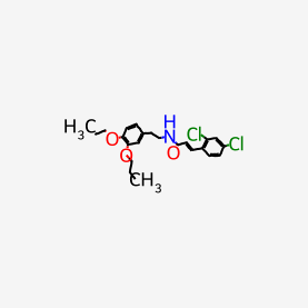 CCCOc1ccc(CCNC(=O)C=Cc2ccc(Cl)cc2Cl)cc1OCCC